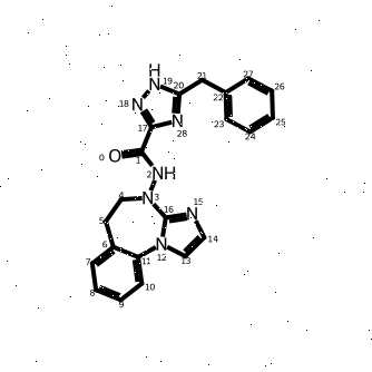 O=C(NN1CCc2ccccc2-n2ccnc21)c1n[nH]c(Cc2ccccc2)n1